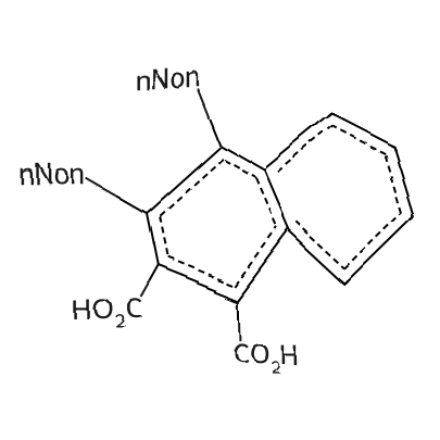 CCCCCCCCCc1c(C(=O)O)c(C(=O)O)c2ccccc2c1CCCCCCCCC